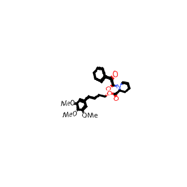 COc1cc(CCCCOC(=O)C2CCCCN2C(=O)C(=O)C2CCCCC2)cc(OC)c1OC